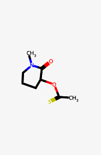 CC(=S)OC1CCCN(C)C1=O